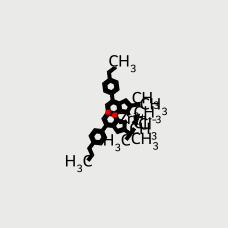 CCCc1ccc(-c2cccc3c2C=C(C(C)(C)C)[CH]3[Zr+2]2([CH]3C(C(C)(C)C)=Cc4c(-c5ccc(CCC)cc5)cccc43)[CH2][CH2]2)cc1.[Cl-].[Cl-]